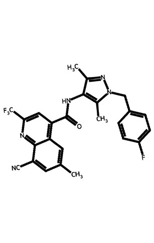 Cc1cc(C#N)c2nc(C(F)(F)F)cc(C(=O)Nc3c(C)nn(Cc4ccc(F)cc4)c3C)c2c1